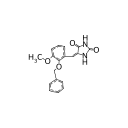 COc1cccc(C=C2NC(=O)NC2=O)c1OCc1ccccc1